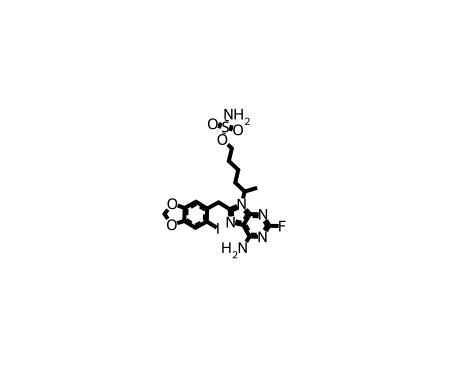 CC(CCCCOS(N)(=O)=O)n1c(Cc2cc3c(cc2I)OCO3)nc2c(N)nc(F)nc21